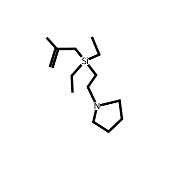 C=C(C)C[Si](CC)(CC)CCN1CCCC1